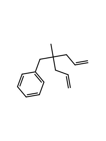 C=CCC(C)(CC=C)Cc1ccccc1